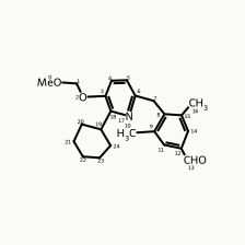 COCOc1ccc(Cc2c(C)cc(C=O)cc2C)nc1C1CCCCC1